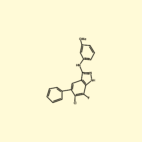 COc1cccc(Nc2n[nH]c3c(F)c(Cl)c(-c4ccccc4)cc23)c1